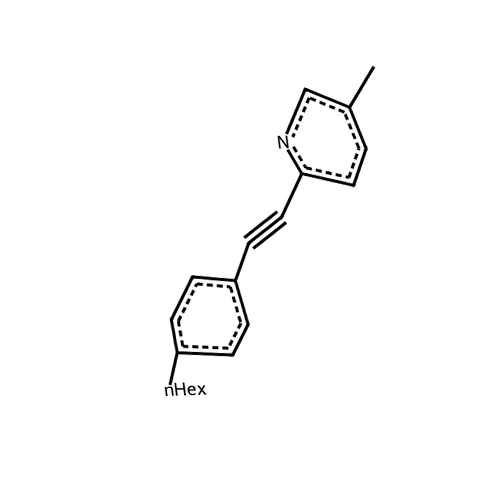 CCCCCCc1ccc(C#Cc2ccc(C)cn2)cc1